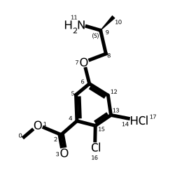 COC(=O)c1cc(OC[C@H](C)N)cc(C)c1Cl.Cl